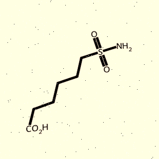 NS(=O)(=O)CCCCCC(=O)O